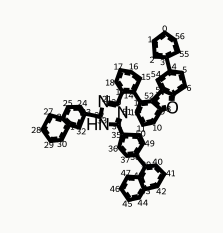 c1ccc(-c2ccc3oc4cccc(-c5ccccc5C5=NC(c6ccc7ccccc7c6)NC(c6ccc(-c7cccc8ccccc78)cc6)=N5)c4c3c2)cc1